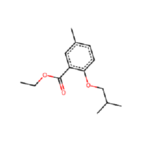 CCOC(=O)c1cc(C)ccc1OCC(C)C